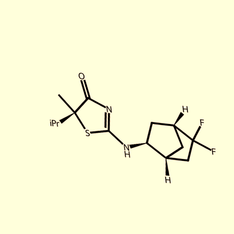 CC(C)[C@]1(C)SC(N[C@H]2C[C@H]3C[C@@H]2CC3(F)F)=NC1=O